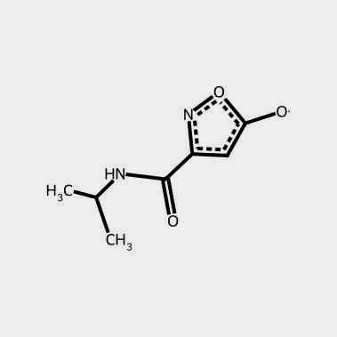 CC(C)NC(=O)c1cc([O])on1